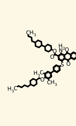 CCCCCC1CCC(COc2c(C)cc(-c3ccc(Sc4cc(C(=O)OC5CCC(C6CCC(CCCC)CC6)CC5)c(N)c5c4C(=O)c4ccccc4C5=O)cc3)cc2C)CC1